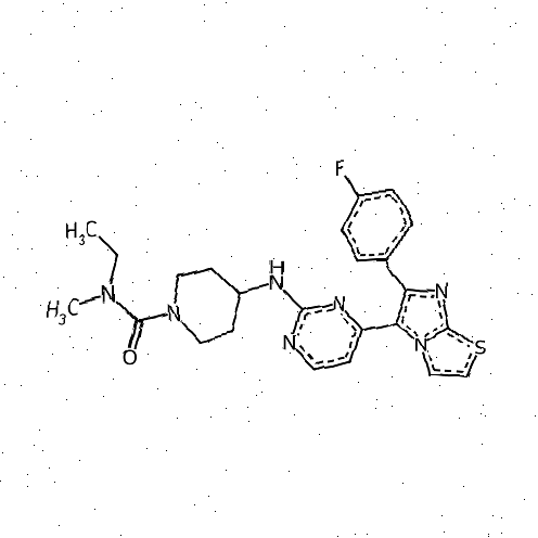 CCN(C)C(=O)N1CCC(Nc2nccc(-c3c(-c4ccc(F)cc4)nc4sccn34)n2)CC1